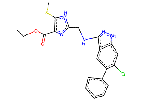 CCOC(=O)c1nc(CNc2n[nH]c3cc(Cl)c(-c4ccccc4)cc23)[nH]c1SC